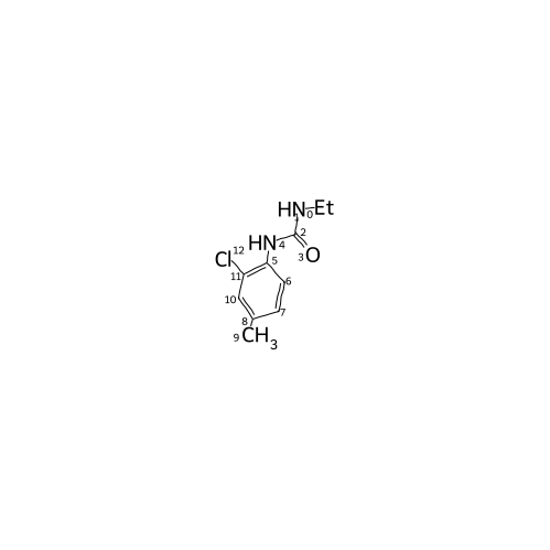 CCNC(=O)Nc1ccc(C)cc1Cl